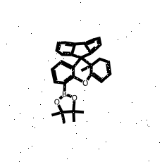 CC1(C)OB(c2cccc3c2OC2=CC=CCC2(C)C32c3ccccc3-c3ccccc32)OC1(C)C